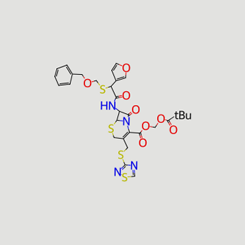 CC(C)(C)C(=O)OCOC(=O)C1=C(CSc2ncsn2)CSC2C(NC(=O)C(SCOCc3ccccc3)c3ccoc3)C(=O)N12